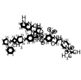 Cc1ccccc1[C@@H]1CCCN1C1CC2(CCN(c3ccc(C(=O)NS(=O)(=O)c4cc5c(c([N+](=O)[O-])c4)N[C@@H](CN4CCN(S(=O)(=O)C(C)C)CC4)CO5)c(N4c5cc6cc[nH]c6nc5O[C@@H]5COC[C@H]54)c3)CC2)C1